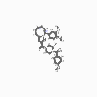 C=C(c1cc2n(n1)/C(c1ccc(OC)c(OC)c1)=C\C=C/CC2)N1CCN(C(=O)c2ccc(OC)cc2)[C@@H](C)C1